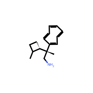 CC1CC[C@@H]1[C@@](C)(CN)C1=C/C=C/C=C\C=C\1